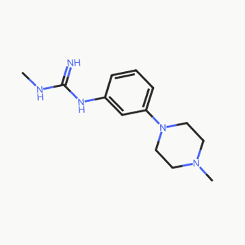 CNC(=N)Nc1cccc(N2CCN(C)CC2)c1